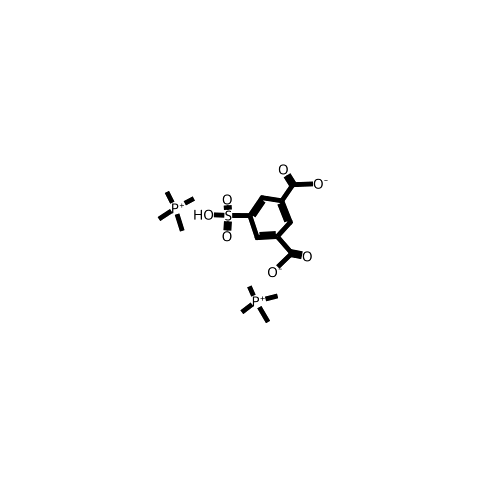 C[P+](C)(C)C.C[P+](C)(C)C.O=C([O-])c1cc(C(=O)[O-])cc(S(=O)(=O)O)c1